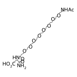 CC(=O)NCCOCCOCCOCCOCCOCCOCCOCCOCCC(=O)NC(CC(=O)O)C(N)=O